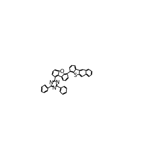 c1ccc(-c2nc(-c3ccccc3)nc(-c3cccc4oc5c(-c6cccc7c6sc6cc8ccccc8cc67)cccc5c34)n2)cc1